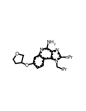 CCCc1nc2c(N)nc3cc(OC4CCOC4)ccc3c2n1CC(C)C